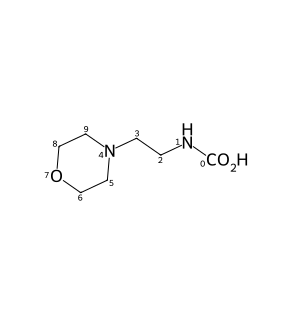 O=C(O)NCCN1CCOCC1